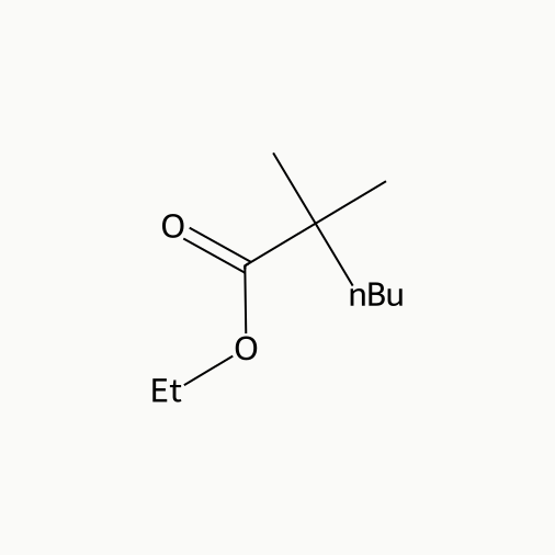 CCCCC(C)(C)C(=O)OCC